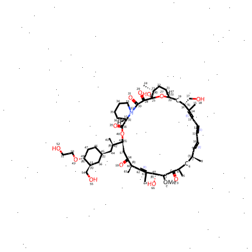 COC1C(=O)C(C)C[C@H](C)/C=C/C=C/C=C(\C)[C@@H](CO)C[C@@H]2CC[C@@H](C)[C@@](O)(O2)C(=O)C(=O)N2CCCC[C@H]2C(=O)O[C@H]([C@H](C)C[C@@H]2CC[C@@H](OCCO)[C@H](CO)C2)CC(=O)[C@H](C)/C=C(\C)[C@H]1O